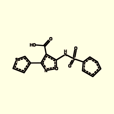 O=C(O)c1c(-c2ccsc2)noc1NS(=O)(=O)c1ccccc1